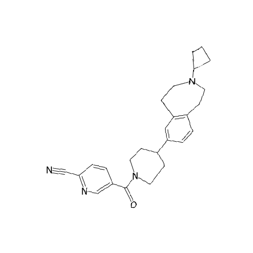 N#Cc1ccc(C(=O)N2CCC(c3ccc4c(c3)CCN(C3CCC3)CC4)CC2)cn1